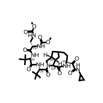 COC(=O)NC[C@H](NC(=O)OC)C(=O)N[C@H](C(=O)N[C@H](C(=O)N1C[C@@H]2CC3CC[C@@H](C(=O)C(=O)NC4CC4)NC(=O)[C@@H]1[C@H]2C3)C(C)(C)C)C(C)(C)C